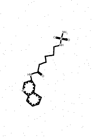 NS(=O)(=O)NCCCCCC(=O)Nc1cnc2ccccc2c1